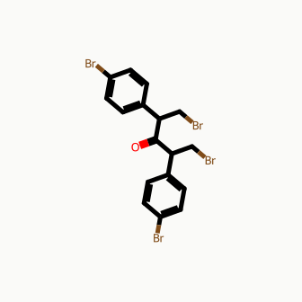 O=C(C(CBr)c1ccc(Br)cc1)C(CBr)c1ccc(Br)cc1